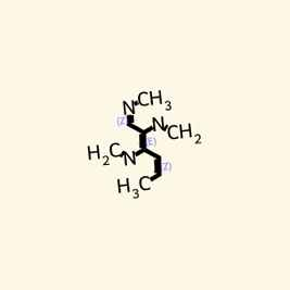 C=NC(/C=C\C)=C(\C=N/C)N=C